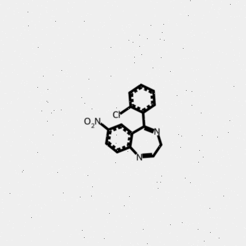 O=[N+]([O-])c1ccc2c(c1)C(c1ccccc1Cl)=NCC=N2